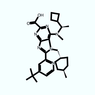 C[C@H](C1CCC1)N(C)c1nc(C(=O)O)nc2nc(-c3cc(C(C)(C)C)ccn3)n(C[C@H]3CC[C@H](C)CC3)c12